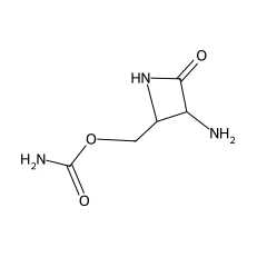 NC(=O)OCC1NC(=O)C1N